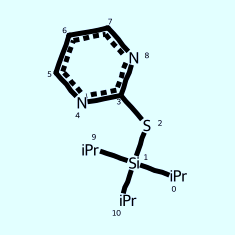 CC(C)[Si](Sc1ncccn1)(C(C)C)C(C)C